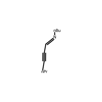 CCCC#CC=NCCCC